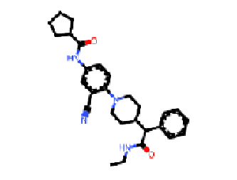 CCNC(=O)C(c1ccccc1)C1CCN(c2ccc(NC(=O)C3CCCC3)cc2C#N)CC1